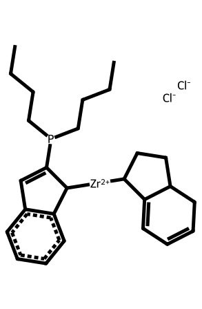 CCCCP(CCCC)C1=Cc2ccccc2[CH]1[Zr+2][CH]1CCC2CC=CC=C21.[Cl-].[Cl-]